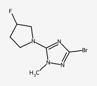 Cn1nc(Br)nc1N1CCC(F)C1